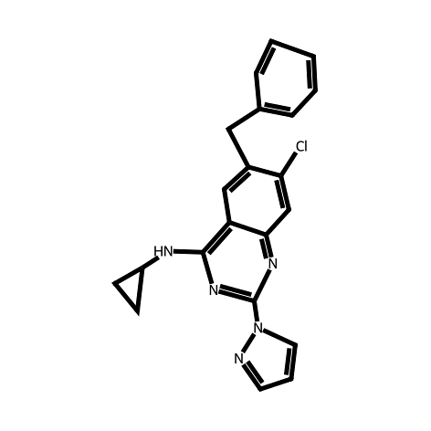 Clc1cc2nc(-n3cccn3)nc(NC3CC3)c2cc1Cc1ccccc1